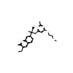 CCc1cc2ccc(C(C)(C#N)Cc3cc(OCCOC)nc(C)n3)cc2[nH]c1=O